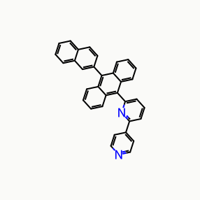 c1cc(-c2ccncc2)nc(-c2c3ccccc3c(-c3ccc4ccccc4c3)c3ccccc23)c1